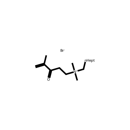 C=C(C)C(=O)CC[N+](C)(C)CCCCCCCC.[Br-]